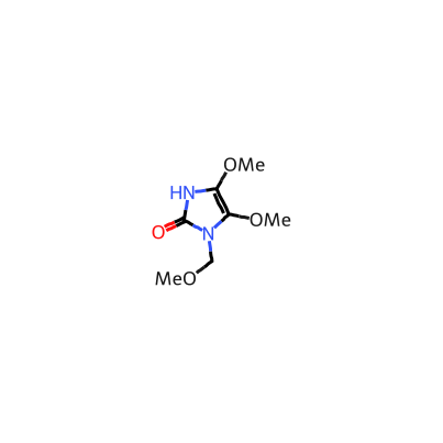 COCn1c(OC)c(OC)[nH]c1=O